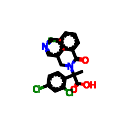 CC(C(=O)O)(c1ccc(Cl)cc1Cl)N(Cc1cccnc1)C(=O)c1cccc(F)c1